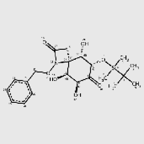 CC(C)(C)[Si](C)(C)O[C@@H]1C(=O)[C@@H](O)[C@@H](O)[C@]2(CC(=O)N2OCc2ccccc2)[C@@H]1O